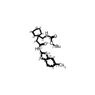 Cc1ccc2nc(NC(=O)CC3(CNC(=O)OC(C)(C)C)CCCCC3)sc2c1